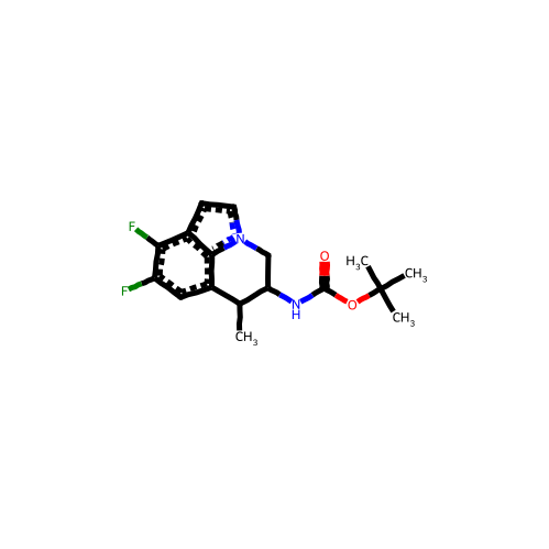 CC1c2cc(F)c(F)c3ccn(c23)CC1NC(=O)OC(C)(C)C